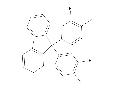 Cc1ccc(C2(c3ccc(C)c(F)c3)C3=C(C=CCC3)c3ccccc32)cc1F